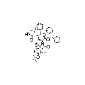 CC(C)(C)OC(=O)N[C@@H]1C(=O)N2C(C(=O)OC(c3ccccc3)c3ccccc3)=C(C(Cc3ccccn3)=C3CCNC3=O)CS[C@H]12